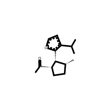 CC(=O)[C@H]1CC[C@@H](C)[C@H]1c1occc1C(C)C